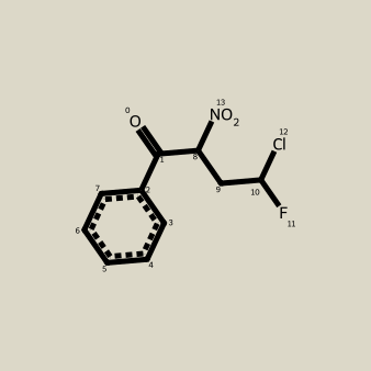 O=C(c1ccccc1)C(CC(F)Cl)[N+](=O)[O-]